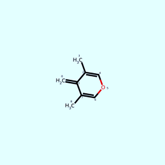 C=C1C(C)=COC=C1C